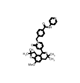 COc1cc2c(c3c1OC(C)(C)C3)C(c1ccn(Cc3ccc(C(=O)Nc4ccncc4)cc3)c(=O)c1)=NC(C)(C)C2